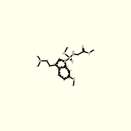 COC(=O)CNP(=O)(OC)n1cc(CCN(C)C)c2ccc(OC)cc21